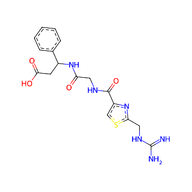 N=C(N)NCc1nc(C(=O)NCC(=O)NC(CC(=O)O)c2ccccc2)cs1